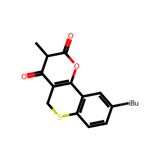 CCC(C)c1ccc2c(c1)C1=C(CS2)C(=O)C(C)C(=O)O1